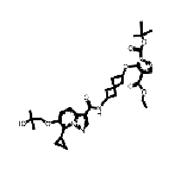 CCOC(=O)c1cnn(C(=O)OC(C)(C)C)c1OC1CC2(CC(NC(=O)c3cnn4c(C5CC5)c(OCC(C)(C)O)ccc34)C2)C1